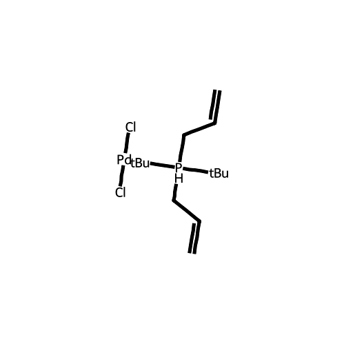 C=CC[PH](CC=C)(C(C)(C)C)C(C)(C)C.[Cl][Pd][Cl]